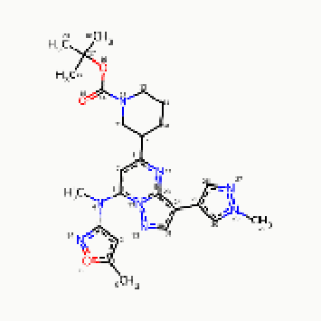 Cc1cc(N(C)c2cc(C3CCCN(C(=O)OC(C)(C)C)C3)nc3c(-c4cnn(C)c4)cnn23)no1